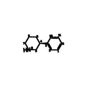 c1ccc([C@@H]2CCCNC2)cc1